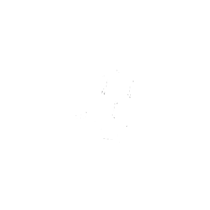 O=Cc1cccn1-c1nc#ccn1